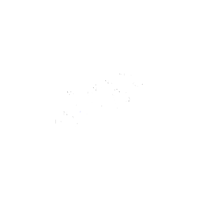 CCc1nc2nc(OC)c(/C=C/C(=O)NO)cc2c(=O)n1-c1c(C)cccc1C